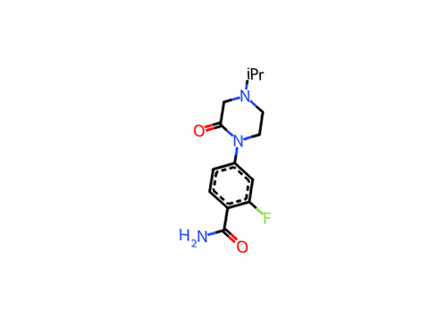 CC(C)N1CCN(c2ccc(C(N)=O)c(F)c2)C(=O)C1